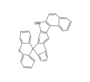 c1ccc2c(c1)Sc1ccccc1C21c2ccccc2-c2cc3c(cc21)[nH]c1ccc2ccccc2c13